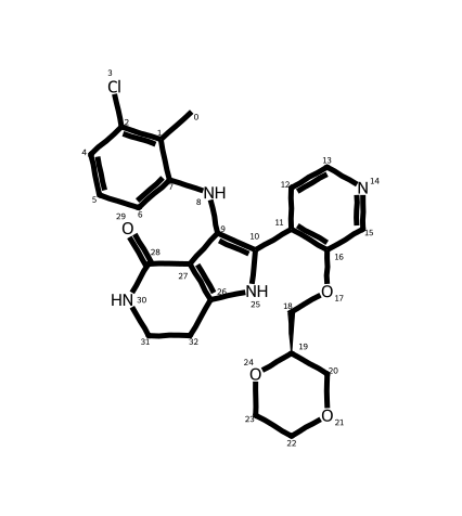 Cc1c(Cl)cccc1Nc1c(-c2ccncc2OC[C@H]2COCCO2)[nH]c2c1C(=O)NCC2